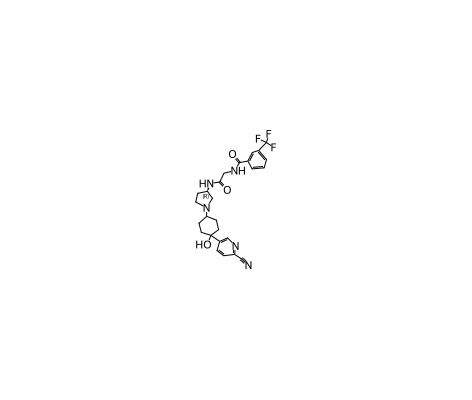 N#Cc1ccc(C2(O)CCC(N3CC[C@@H](NC(=O)CNC(=O)c4cccc(C(F)(F)F)c4)C3)CC2)cn1